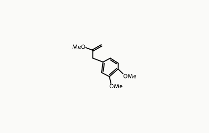 C=C(Cc1ccc(OC)c(OC)c1)OC